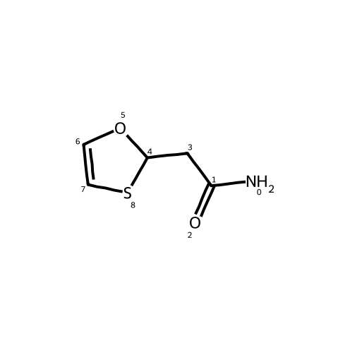 NC(=O)CC1OC=CS1